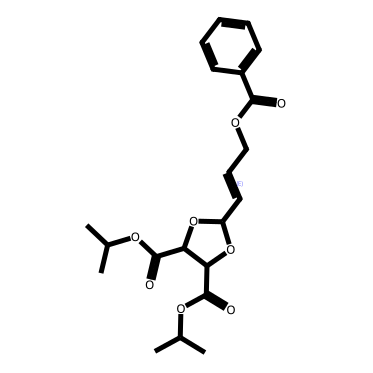 CC(C)OC(=O)C1OC(/C=C/COC(=O)c2ccccc2)OC1C(=O)OC(C)C